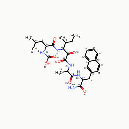 CCC(C)C(NC(=O)C(CC(C)C)NC(=O)O)C(=O)C(=O)NC(C)C(=O)NC(Cc1ccc2ccccc2c1)C(N)=O